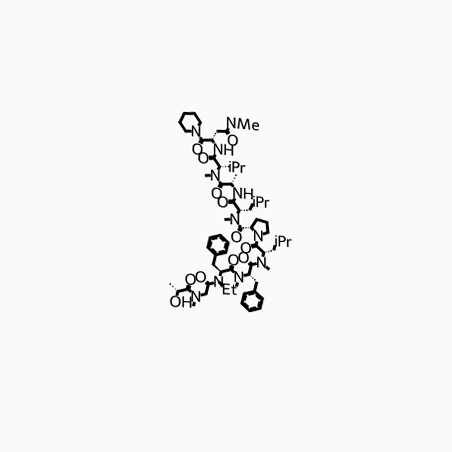 CCN(C(=O)CN(C)C(=O)[C@@H](C)O)[C@@H](Cc1ccccc1)C(=O)N(C)[C@@H](Cc1ccccc1)C(=O)N(C)[C@@H](CC(C)C)C(=O)N1CCC[C@H]1C(=O)N(C)[C@@H](CC(C)C)C(=O)N[C@@H](C)C(=O)N(C)[C@H](C(=O)N[C@@H](CC(=O)NC)C(=O)N1CCCCC1)C(C)C